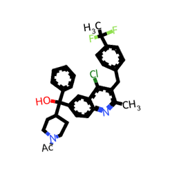 CC(=O)N1CCC(C(O)(c2ccccc2)c2ccc3nc(C)c(Cc4ccc(C(C)(F)F)cc4)c(Cl)c3c2)CC1